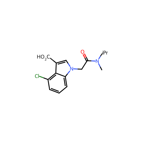 CC(C)N(C)C(=O)Cn1cc(C(=O)O)c2c(Cl)cccc21